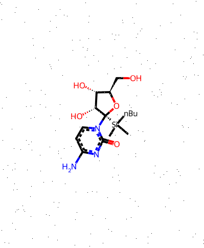 CCCC[Si](C)(C)[C@@]1(n2ccc(N)nc2=O)O[C@H](CO)[C@@H](O)[C@H]1O